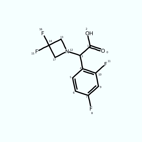 O=C(O)C(c1ccc(F)cc1F)N1CC(F)(F)C1